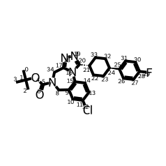 CC(C)(C)OC(=O)N1Cc2cc(Cl)ccc2-n2c(nnc2[C@H]2CC[C@H](c3ccc(F)cc3)CC2)C1